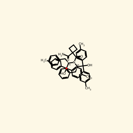 Cc1ccc(C(O)(c2ccc(C)cc2)[C@@H](Cc2ccccc2)N(C(=O)C2(C(N)=O)CCC2)[C@H](Cc2ccccc2)C(O)(c2ccc(C)cc2)c2ccc(C)cc2)cc1